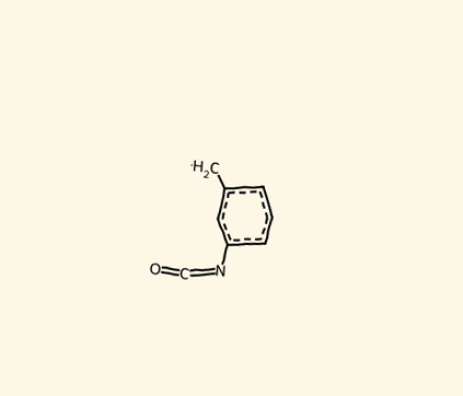 [CH2]c1cccc(N=C=O)c1